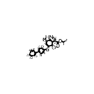 CCOC(=O)c1n[nH]c2c1C(=O)C(Sc1ccc(-c3ccccc3)cc1)=CC2=O